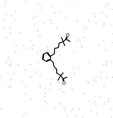 CC(=O)C(C)(C)CCCCc1ccccc1CCCCC(C)(C)C(C)=O